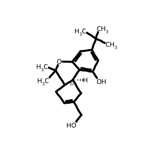 CC(C)(C)c1cc(O)c2c(c1)OC(C)(C)C1CC=C(CO)C[C@H]21